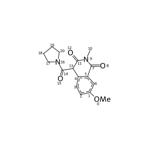 COc1ccc2c(c1)C(=O)N(C)C(=O)C2C(=O)N1CCCC1